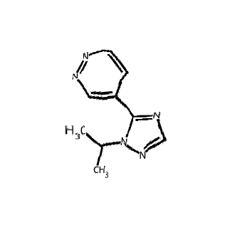 CC(C)n1ncnc1-c1ccnnc1